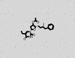 CCc1cn([C@@H]2CC(OC(C)=O)[C@H](CC[C@H](I)Cc3ccccc3)O2)c(=O)[nH]c1=O